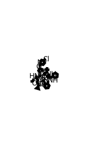 CCC[C@H](NC(=O)[C@@H]1C[C@@H](Oc2ccc(Cl)cn2)CN1C(=O)[C@@H](NC(=O)[C@@H](NC1=NS(=O)(=O)c2ccccc21)C1CCCCC1)C(C)(C)C)C(=O)C(=O)NC1CC1